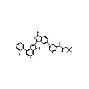 C=C(CC(C)(C)C)Nc1cncc(-c2ccc3[nH]nc(-c4cc5c(-c6ccccc6F)cncc5[nH]4)c3c2)c1